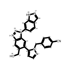 N#Cc1ccc(Cn2nccc2-c2cc3c(cc2CO)nnn3-c2ccc3cn[nH]c3c2)cc1